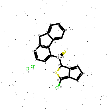 [Cl-].[Cl-].[S]=[Zr+2]([c]1cccc2c1-c1ccccc1C2)[CH]1SC(Cl)=C2C=CC=C21